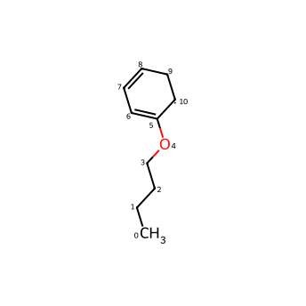 CCCCOC1=CC=CC[CH]1